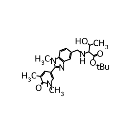 Cc1cc(-c2nc3cc(CNC(C(=O)OC(C)(C)C)C(C)O)ccc3n2C)cn(C)c1=O